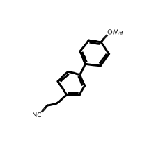 COc1ccc(-c2ccc(CCC#N)cc2)cc1